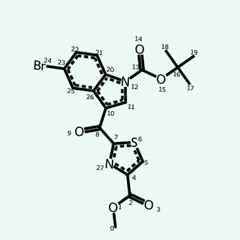 COC(=O)c1csc(C(=O)c2cn(C(=O)OC(C)(C)C)c3ccc(Br)cc23)n1